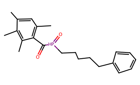 Cc1cc(C)c(C(=O)[PH](=O)CCCCCc2ccccc2)c(C)c1C